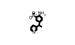 CC(c1cccnc1)c1ccc(N)c([N+](=O)[O-])c1